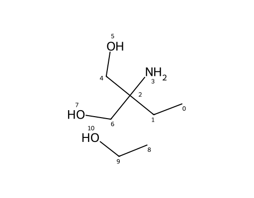 CCC(N)(CO)CO.CCO